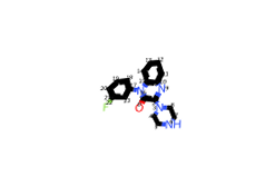 O=c1c(N2CCNCC2)nc2ccccc2n1-c1cccc(F)c1